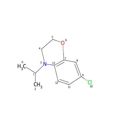 CC(C)N1CCOc2cc(Cl)ccc21